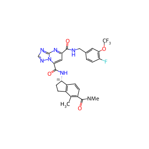 CNC(=O)c1ccc2c(c1C)CC[C@@H]2NC(=O)c1cc(C(=O)NCc2ccc(F)c(OC(F)(F)F)c2)nc2ncnn12